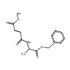 CC(NC(=O)CCC(=O)OC(C)(C)C)C(=O)OCc1ccccc1